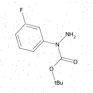 CC(C)(C)OC(=O)N(N)c1cccc(F)c1